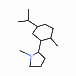 CC(C)C1CCC(C)C(C2CCCN2C)C1